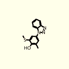 CSc1cc(-n2nnc3ccccc32)cc(C)c1O